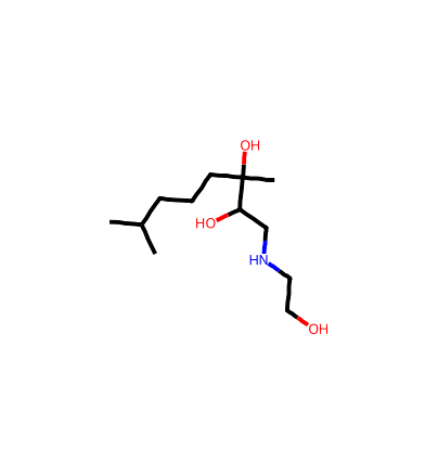 CC(C)CCCC(C)(O)C(O)CNCCO